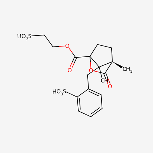 CC1(Cc2ccccc2S(=O)(=O)O)C2(C(=O)OCCS(=O)(=O)O)CC[C@]1(C)C(=O)O2